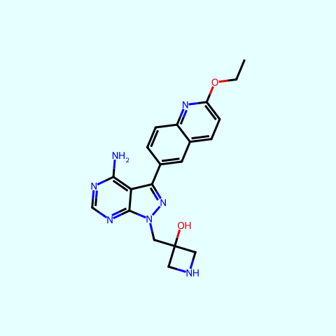 CCOc1ccc2cc(-c3nn(CC4(O)CNC4)c4ncnc(N)c34)ccc2n1